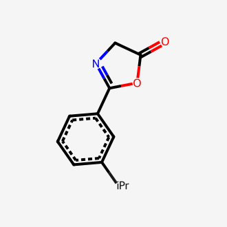 CC(C)c1cccc(C2=NCC(=O)O2)c1